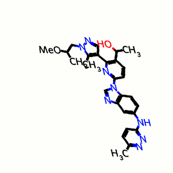 COC(C)Cn1ncc(-c2nc(-n3cnc4cc(Nc5ccc(C)nn5)ccc43)ccc2C(C)O)c1C